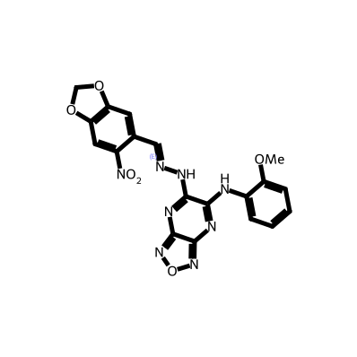 COc1ccccc1Nc1nc2nonc2nc1N/N=C/c1cc2c(cc1[N+](=O)[O-])OCO2